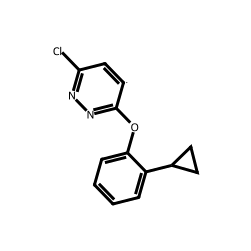 Clc1c[c]c(Oc2ccccc2C2CC2)nn1